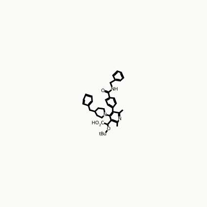 Cc1nc(C)c(C(OC(C)(C)C)C(=O)O)c(N2CCC(Cc3ccccc3)CC2)c1-c1ccc(C(=O)NCc2ccccc2)cc1